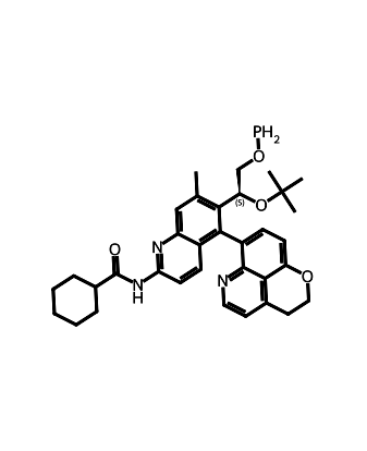 Cc1cc2nc(NC(=O)C3CCCCC3)ccc2c(-c2ccc3c4c(ccnc24)CCO3)c1[C@@H](COP)OC(C)(C)C